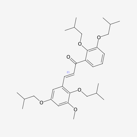 COc1cc(OCC(C)C)cc(/C=C/C(=O)c2cccc(OCC(C)C)c2OCC(C)C)c1OCC(C)C